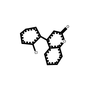 O=c1cc(-c2ccccc2Cl)c2ccccc2o1